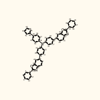 c1ccc(-c2nc3ccc(-c4ccc(N(c5ccc(-c6ccc7nc(-c8ccccc8)oc7c6)cc5)c5ccc(-c6cccs6)cc5)cc4)cc3o2)cc1